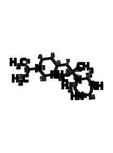 CC(C)N1CCC(CC(C)(C)N2CNCNC2)NC1